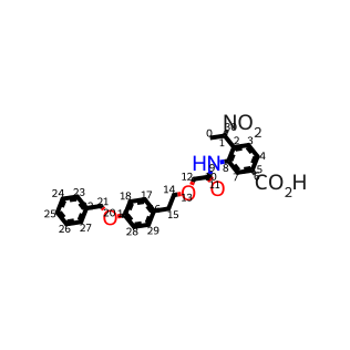 CC(c1ccc(C(=O)O)cc1NC(=O)COCCc1ccc(OCc2ccccc2)cc1)[N+](=O)[O-]